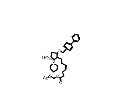 CC(=O)SCOC(=O)CC/C=C\CCC1[C@@H](OCc2ccc(-c3ccccc3)cc2)C[C@@H](O)[C@@H]1N1CCCCC1